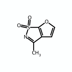 CC1=NS(=O)(=O)c2occc21